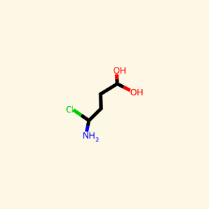 NC(Cl)CCC(O)O